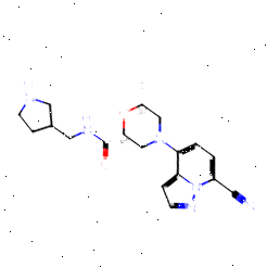 C[C@@H]1CN(c2ccc(C#N)n3nccc23)C[C@H](C(=O)NCC2CCNC2)O1